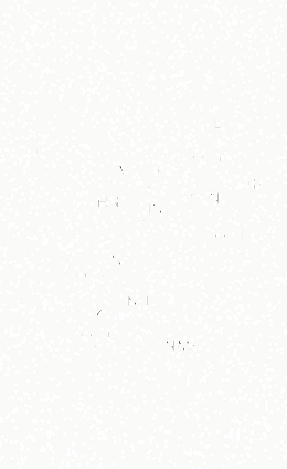 CCC(CC)C(=O)[C@@H](NC(=O)[C@H](CC(=O)O)NC(=O)[C@H](Cc1ccc(O)cc1)NC(=O)CNC(=O)[C@H](CC(=O)O)NC(=O)CNC)C(C)(C)C